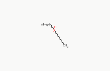 C=CCCCCCCCCOC(=O)/C=C/CCCCCCC